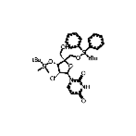 CC(C)(C)[Si](C)(C)O[C@H]1[C@@H](Cl)[C@H](n2ccc(=O)[nH]c2=O)O[C@]1(CO)CO[Si](c1ccccc1)(c1ccccc1)C(C)(C)C